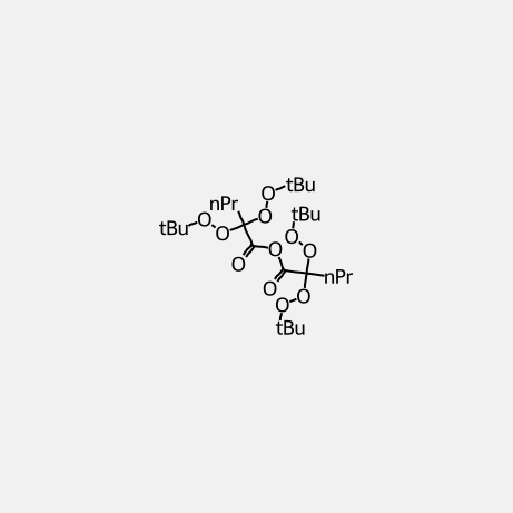 CCCC(OOC(C)(C)C)(OOC(C)(C)C)C(=O)OC(=O)C(CCC)(OOC(C)(C)C)OOC(C)(C)C